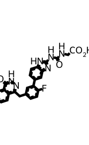 O=C(O)CNC(=O)Nc1nc2cc(-c3cc(Cc4n[nH]c(=O)c5ccccc45)ccc3F)ccc2[nH]1